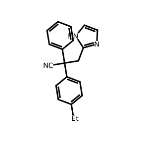 CCc1ccc(C(C#N)(Cc2ncc[nH]2)c2ccccc2)cc1